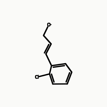 [O]CC=Cc1ccccc1Cl